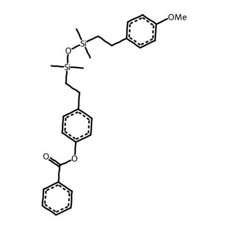 COc1ccc(CC[Si](C)(C)O[Si](C)(C)CCc2ccc(OC(=O)c3ccccc3)cc2)cc1